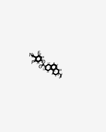 CC[C@H]1CCc2c(ccc3c2CC[C@H](C(=O)Oc2cc(F)c(C#N)c(F)c2)C3)C1